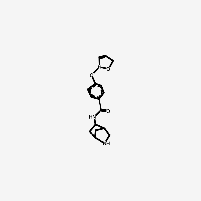 O=C(NC1CC2CC1CN2)c1ccc(ON2C=CCO2)cc1